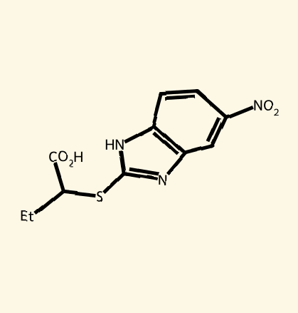 CCC(Sc1nc2cc([N+](=O)[O-])ccc2[nH]1)C(=O)O